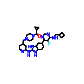 O=C(C1CC1)N1CCN(CC2CC=NC(NC3NC4CCC(C5=NC=NC(NCC6CCC6)C5F)CC4N3)C2)CC1